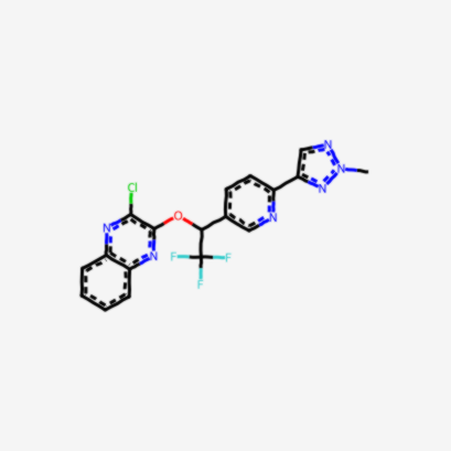 Cn1ncc(-c2ccc(C(Oc3nc4ccccc4nc3Cl)C(F)(F)F)cn2)n1